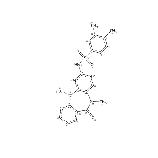 Cc1ccc(S(=O)(=O)Nc2ncc3c(n2)N(C)c2ccccc2C(=O)N3C)cc1C